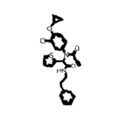 C#CC(=O)N(c1ccc(OC2CC2)c(Cl)c1)C(C(=O)NCCc1ccccc1)c1cccs1